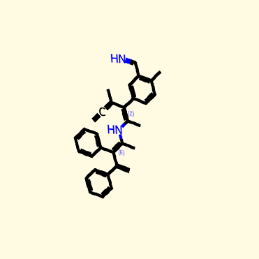 C=C=C(C)/C(=C(/C)N/C(C)=C(/C(=C)c1ccccc1)c1ccccc1)c1ccc(C)c(C=N)c1